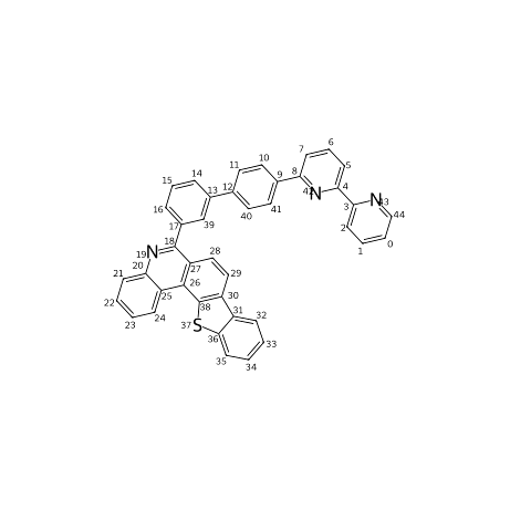 c1ccc(-c2cccc(-c3ccc(-c4cccc(-c5nc6ccccc6c6c5ccc5c7ccccc7sc56)c4)cc3)n2)nc1